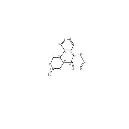 CCN1CCN(c2ccccc2)C(c2ccccc2)C1